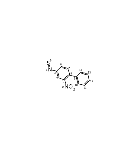 O=[N+]([O-])c1cc(N=S)ccc1-c1ccccc1